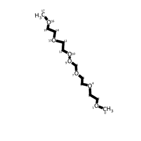 COCCOCCOCOOCCOCCOC